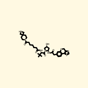 CC(C)(C)[C@H](NC(=O)CCCCCC(=O)N1CCC2(CC1)CNC2)C(=O)N1C[C@H](O)C[C@H]1NC(=O)Cc1ccc2c(c1)OCc1ncsc1-2